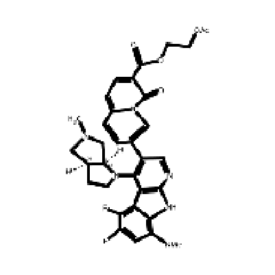 CNc1cc(F)c(F)c2c1[nH]c1ncc(-c3ccc4ccc(C(=O)OCCOC(C)=O)c(=O)n4c3)c(N3CC[C@H]4CN(C)C[C@H]43)c12